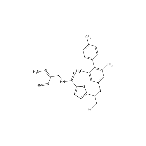 Cc1cc(SC(CC(C)C)c2ccc(C(=O)NC/C(N=N)=N/N)s2)cc(C)c1-c1ccc(C(F)(F)F)cc1